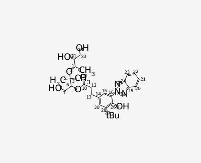 CC(OC(C)(C)C(CO)OC(=O)CCc1cc(-n2nc3ccccc3n2)c(O)c(C(C)(C)C)c1)C(O)CO